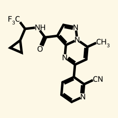 Cc1cc(-c2cccnc2C#N)nc2c(C(=O)NC(C3CC3)C(F)(F)F)cnn12